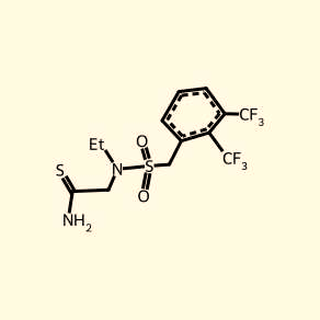 CCN(CC(N)=S)S(=O)(=O)Cc1cccc(C(F)(F)F)c1C(F)(F)F